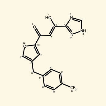 O=C(C=C(O)c1nc[nH]n1)c1cc(Cc2ccc(C(F)(F)F)cc2)co1